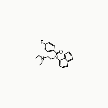 CCN(CC)CCN(C(=O)c1ccc(F)cc1)c1cccc2ccccc12